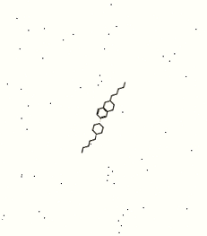 CCCCCC1CCc2cc([C@H]3CC[C@H](CCCCC)CC3)ccc2C1